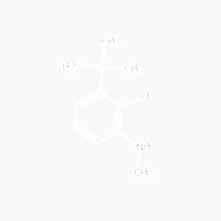 CNc1cccc(C(C)(C)C)c1Cl